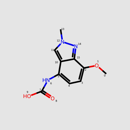 COc1ccc(NC(=O)O)c2cn(C)nc12